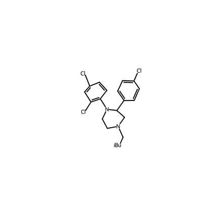 CCC(C)CN1CCN(c2ccc(Cl)cc2Cl)C(c2ccc(Cl)cc2)C1